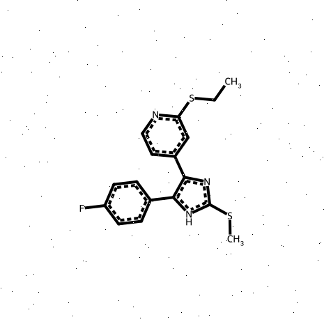 CCSc1cc(-c2nc(SC)[nH]c2-c2ccc(F)cc2)ccn1